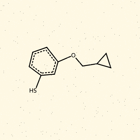 Sc1cccc(OCC2CC2)c1